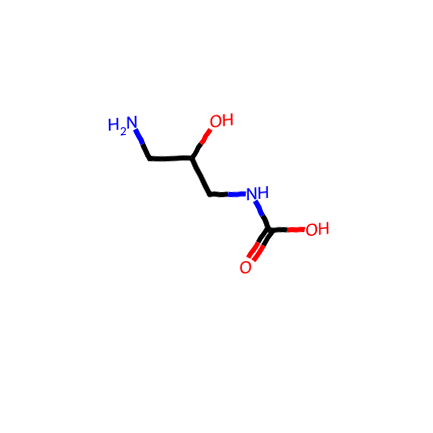 NCC(O)CNC(=O)O